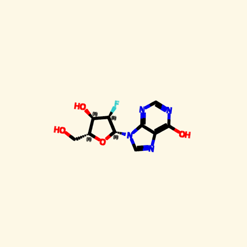 OC[C@H]1O[C@@H](n2cnc3c(O)ncnc32)[C@H](F)[C@@H]1O